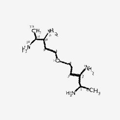 CC(N)C(N)CCOCCC(N)C(C)N